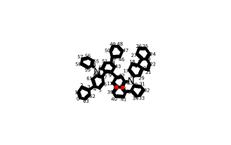 c1ccc(-c2ccc3c4c(-c5cccc(N(c6ccc7c(ccc8ccccc87)c6)c6ccccc6-c6ccccc6)c5)cc(-c5ccccc5)cc4n(-c4ccccc4)c3c2)cc1